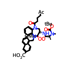 COc1ccc2cc(C(=O)O)ccc2c1CN1C(=O)[C@@H](NC(=O)[C@H](C)N(C)C(=O)OC(C)(C)C)CN(C(=O)CCCC(C)=O)c2ccccc21